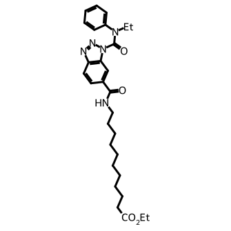 CCOC(=O)CCCCCCCCCCNC(=O)c1ccc2nnn(C(=O)N(CC)c3ccccc3)c2c1